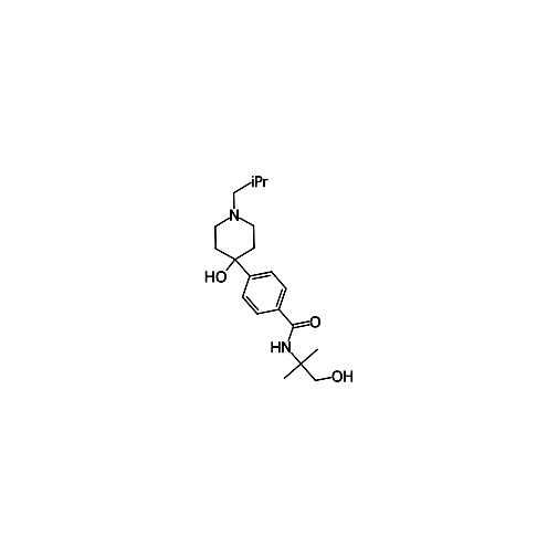 CC(C)CN1CCC(O)(c2ccc(C(=O)NC(C)(C)CO)cc2)CC1